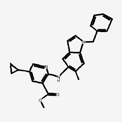 COC(=O)c1cc(C2CC2)cnc1Nc1cc2ccn(Cc3ccccc3)c2cc1C